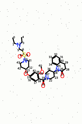 CCN(CC)CCS(=O)(=O)N1CCC(Oc2ccc(C(=O)N3CCC(N4C(=O)CCc5ccccc54)CC3)c(OC)c2)CC1